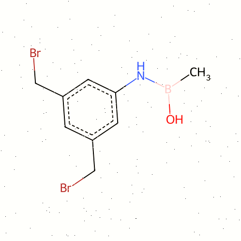 CB(O)Nc1cc(CBr)cc(CBr)c1